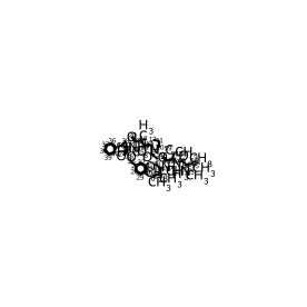 CC[C@H](C)[C@@H]([C@@H](CC(=O)N1CCC[C@H]1[C@H](OC)[C@@H](C)C(=O)N[C@@]1(C(=O)OCc2ccccc2)C[C@@H]1c1ccccc1)OC)N(C)C(=O)[C@@H](NC(=O)[C@@H](NC)C(C)C)C(C)C